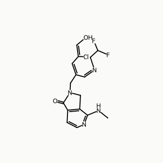 CNc1nccc2c1CN(CC(/C=N\CC(F)F)=C/C(Cl)=C/O)C2=O